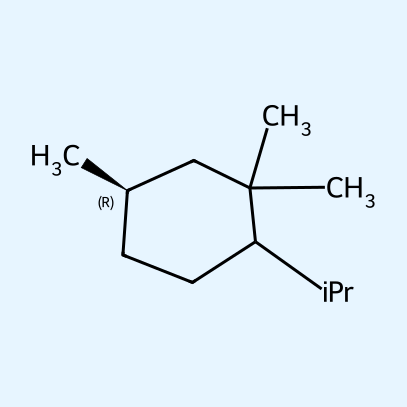 CC(C)C1CC[C@@H](C)CC1(C)C